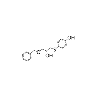 Oc1ccc(SCC(O)COCc2ccccc2)cc1